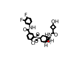 C[C@H]1CC2CC(S(=O)(=O)c3cc(C(=O)Nc4ccc(F)c(F)c4)ccc3Cl)C[C@H]1[C@@]2(O)CNC(=O)C1CC(O)C1